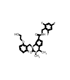 CC1c2ccc(C(=O)NCc3c(F)cc(F)cc3F)cc2N(Cc2c(F)cccc2OCCO)C(=O)N1C